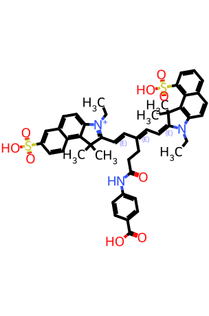 CCN1/C(=C/C=C(/C=C/C2=[N+](CC)c3ccc4cc(S(=O)(=O)O)ccc4c3C2(C)C)CCC(=O)Nc2ccc(C(=O)O)cc2)C(C)(C)c2c1ccc1cccc(S(=O)(=O)O)c21